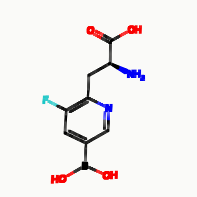 N[C@@H](Cc1ncc(B(O)O)cc1F)C(=O)O